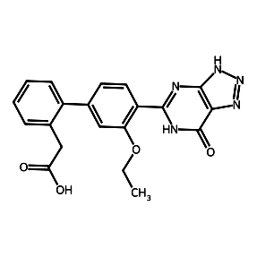 CCOc1cc(-c2ccccc2CC(=O)O)ccc1-c1nc2[nH]nnc2c(=O)[nH]1